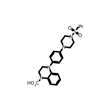 CC(C)S(=O)(=O)N1CCN(c2ccc(N3CCN(C(=O)O)c4ccccc43)cc2)CC1